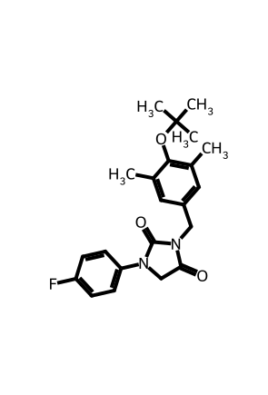 Cc1cc(CN2C(=O)CN(c3ccc(F)cc3)C2=O)cc(C)c1OC(C)(C)C